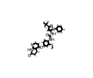 CSc1cc(Oc2ccnc3c2CCC(=O)N3)ccc1NC(=O)Nc1cc(C(C)(C)C)nn1-c1ccccc1